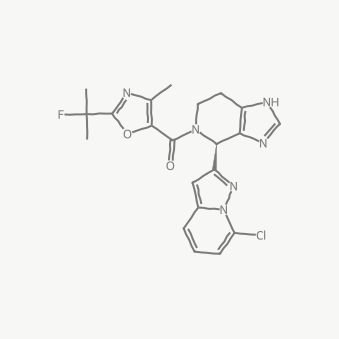 Cc1nc(C(C)(C)F)oc1C(=O)N1CCc2[nH]cnc2[C@H]1c1cc2cccc(Cl)n2n1